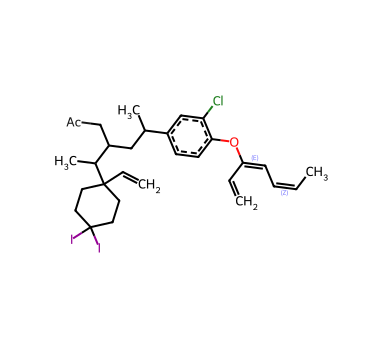 C=C/C(=C\C=C/C)Oc1ccc(C(C)CC(CC(C)=O)C(C)C2(C=C)CCC(I)(I)CC2)cc1Cl